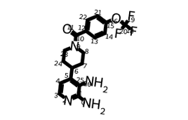 Nc1nccc(C2CCN(C(=O)c3ccc(OC(F)(F)F)cc3)CC2)c1N